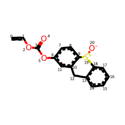 C=COC(=O)Oc1ccc2c(c1)Cc1ccccc1[S+]2[O-]